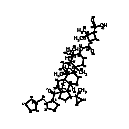 CC1([C@@H]2CC[C@]3(C(=O)N4CCC[C@@H]4CN4CCCC4)CCC4[C@H](CC[C@]5(C)C6(C)CC[C@H](OC(=O)[C@H]7C[C@@H](C(=O)O)C7(C)C)C(C)(C)[C@@H]6CC[C@@]45C)[C@@]23C)CC1